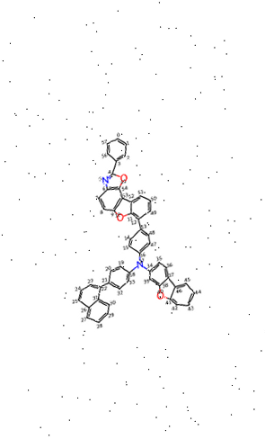 c1ccc(-c2nc3ccc4oc5c(-c6ccc(N(c7ccc(-c8cccc9ccccc89)cc7)c7ccc8c(c7)oc7ccccc78)cc6)cccc5c4c3o2)cc1